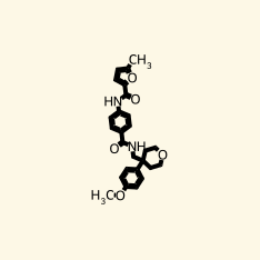 COc1ccc(C2(CNC(=O)c3ccc(NC(=O)c4ccc(C)o4)cc3)CCOCC2)cc1